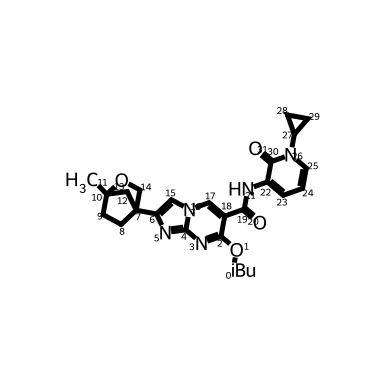 CCC(C)Oc1nc2nc(C34CCC(C)(C3)OC4)cn2cc1C(=O)Nc1cccn(C2CC2)c1=O